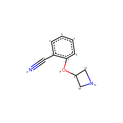 N#Cc1ccccc1OC1C[N]C1